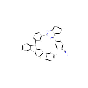 N#Cc1ccc(-c2nc(-c3cccc(C4c5ccccc5-c5cc6sc7ccccc7c6cc54)c3)nc3ccccc23)cc1